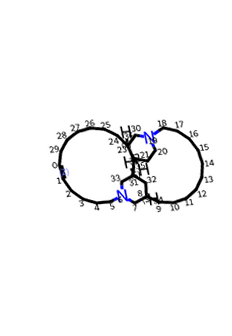 C1=C\CCCCN2C[C@H]3CCCCCCCCCCN4CC[C@@H]([C@H](CCCCCC/1)C4)[C@H](C3)C2